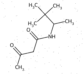 CC(=O)CC(=O)NC(C)C(C)(C)C